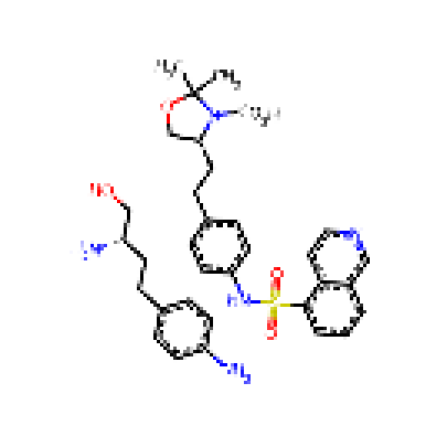 CC1(C)OC[C@H](CCc2ccc(NS(=O)(=O)c3cccc4cnccc34)cc2)N1C(=O)O.Nc1ccc(CC[C@H](N)CO)cc1